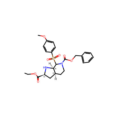 CCOC(=O)[C@@H]1C[C@@H]2CCN(C(=O)OCc3ccccc3)C(S(=O)(=O)c3ccc(OC)cc3)[C@@H]2N1